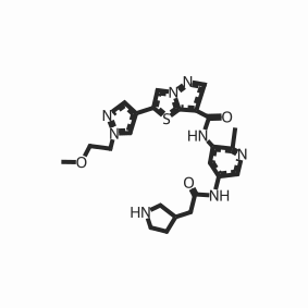 COCCn1cc(-c2cn3ncc(C(=O)Nc4cc(NC(=O)CC5CCNC5)cnc4C)c3s2)cn1